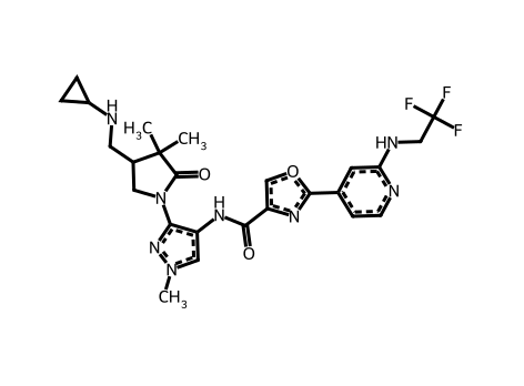 Cn1cc(NC(=O)c2coc(-c3ccnc(NCC(F)(F)F)c3)n2)c(N2CC(CNC3CC3)C(C)(C)C2=O)n1